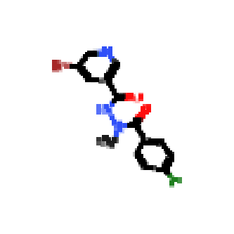 CCCCN(NC(=O)c1cncc(Br)c1)C(=O)c1ccc(Cl)cc1